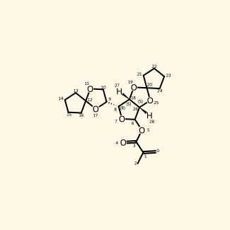 C=C(C)C(=O)OC1O[C@H](C2COC3(CCCC3)O2)[C@@H]2OC3(CCCC3)O[C@H]12